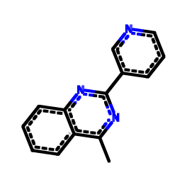 Cc1nc(-c2cccnc2)nc2ccccc12